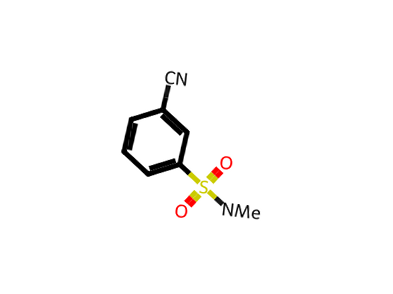 CNS(=O)(=O)c1cccc(C#N)c1